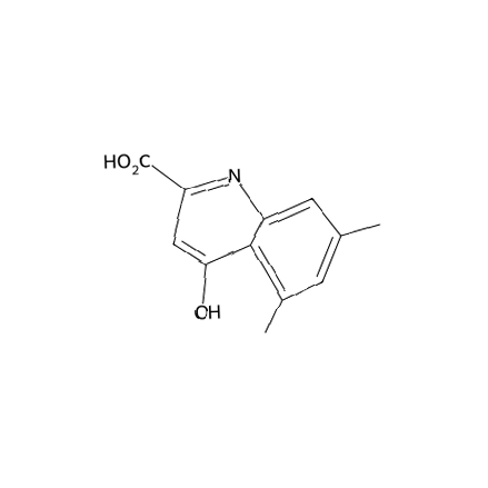 Cc1cc(C)c2c(O)cc(C(=O)O)nc2c1